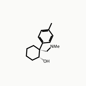 CNC[C@@]1(c2ccc(C)cc2)CCCC[C@H]1O